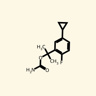 CC(C)(OC(N)=O)c1cc(C2CC2)ccc1F